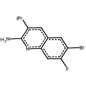 CC(C)c1cc2cc(Br)c(F)cc2nc1N